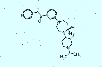 [2H]C1([2H])CCN(c2cccc(C(=O)Nc3ccncc3)n2)CCN1C1CCN(C(C)C)CC1F